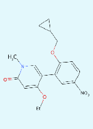 CCOc1cc(=O)n(C)cc1-c1cc([N+](=O)[O-])ccc1OCC1CC1